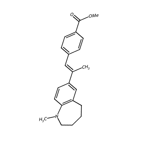 COC(=O)c1ccc(/C=C(\C)c2ccc3c(c2)CCCCN3C)cc1